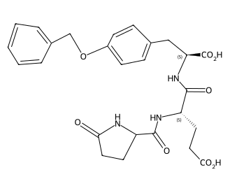 O=C(O)CC[C@H](NC(=O)C1CCC(=O)N1)C(=O)N[C@@H](Cc1ccc(OCc2ccccc2)cc1)C(=O)O